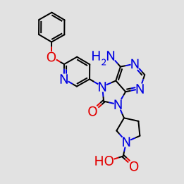 Nc1ncnc2c1n(-c1ccc(Oc3ccccc3)nc1)c(=O)n2C1CCN(C(=O)O)C1